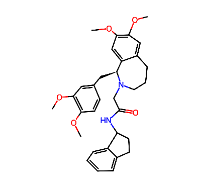 COc1ccc(C[C@H]2c3cc(OC)c(OC)cc3CCCN2CC(=O)NC2CCc3ccccc32)cc1OC